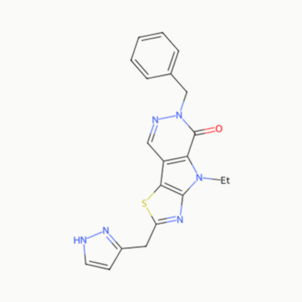 CCn1c2nc(Cc3cc[nH]n3)sc2c2cnn(Cc3ccccc3)c(=O)c21